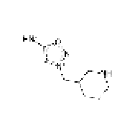 [NH-]c1c[n+](CC2CCCNC2)no1